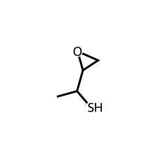 CC(S)C1CO1